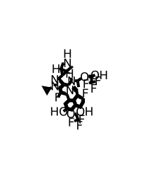 C#Cc1c(F)ccc2cc(O)cc(-c3nc(N(C)C(C)C)c4c(C5[C@H]6CNC[C@@H]56)nn(C5CC5)c4c3F)c12.O=C(O)C(F)(F)F.O=C(O)C(F)(F)F